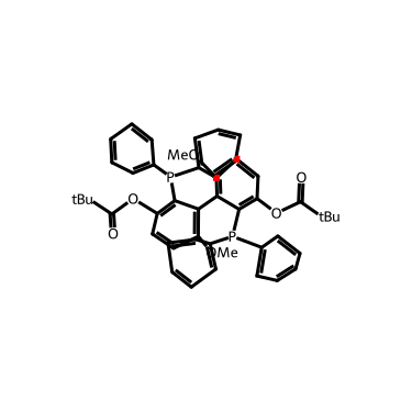 COc1ccc(OC(=O)C(C)(C)C)c(P(c2ccccc2)c2ccccc2)c1-c1c(OC)ccc(OC(=O)C(C)(C)C)c1P(c1ccccc1)c1ccccc1